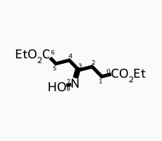 CCOC(=O)CCC(CCC(=O)OCC)=NO